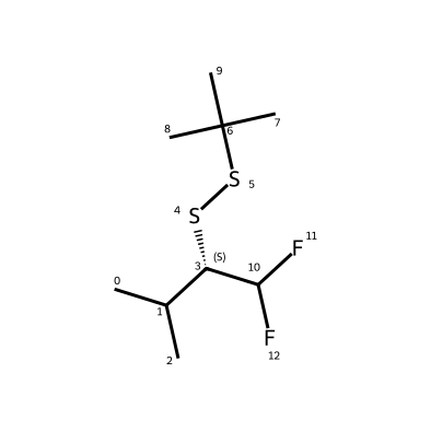 CC(C)[C@H](SSC(C)(C)C)C(F)F